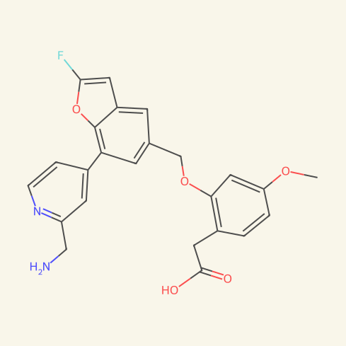 COc1ccc(CC(=O)O)c(OCc2cc(-c3ccnc(CN)c3)c3oc(F)cc3c2)c1